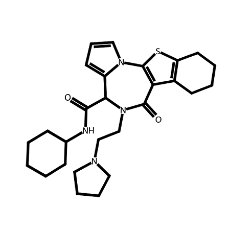 O=C(NC1CCCCC1)C1c2cccn2-c2sc3c(c2C(=O)N1CCN1CCCC1)CCCC3